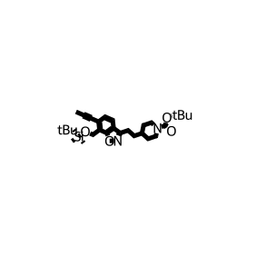 CC#Cc1ccc2c(CCC3CCN(C(=O)OC(C)(C)C)CC3)noc2c1CO[Si](C)(C)C(C)(C)C